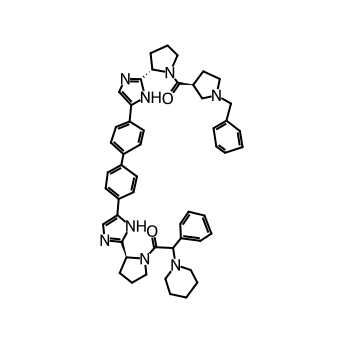 O=C(C(c1ccccc1)N1CCCCC1)N1CCC[C@H]1c1ncc(-c2ccc(-c3ccc(-c4cnc([C@@H]5CCCN5C(=O)[C@H]5CCN(Cc6ccccc6)C5)[nH]4)cc3)cc2)[nH]1